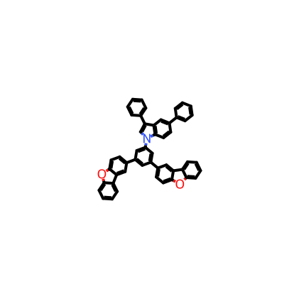 c1ccc(-c2ccc3c(c2)c(-c2ccccc2)cn3-c2cc(-c3ccc4oc5ccccc5c4c3)cc(-c3ccc4oc5ccccc5c4c3)c2)cc1